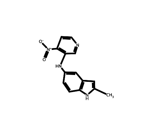 Cc1cc2cc(Nc3cnccc3[N+](=O)[O-])ccc2[nH]1